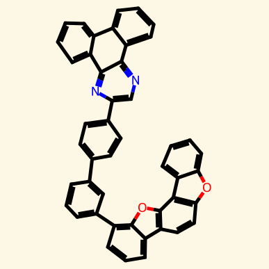 c1cc(-c2ccc(-c3cnc4c5ccccc5c5ccccc5c4n3)cc2)cc(-c2cccc3c2oc2c3ccc3oc4ccccc4c32)c1